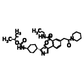 CCNS(=O)(=O)c1cc(CC(=O)N2CCCCC2)ccc1-c1cnc([C@H]2CC[C@H](NC(=O)OC(C)C)CC2)s1